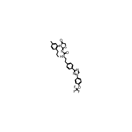 CCCc1ccc(C)cc1N1C(=O)CS/C1=N\C(=O)NCCc1ccc(-c2ncn(-c3ccc(OC(F)(F)F)cc3)n2)cc1